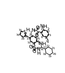 Nc1ccc(I)cc1S(N)(=O)=O.O=S1(=O)NC(C2CCCCC2)Nc2ccc(-c3cccs3)cc21